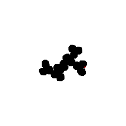 c1ccc(-n2c3ccccc3c3cc(-c4ccc5c6ccccc6n(-c6cc7ccc8cc(-c9cccc%10c9c9ccc(-c%11ccc%12c(c%11)c%11ccccc%11n%12-c%11ccccc%11)cc9n%10-c9ccc%10c%11ccccc%11c%11ccccc%11c%10c9)ccc8c7c7ccccc67)c5c4)ccc32)cc1